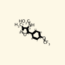 Cc1noc(-c2ccc(OC(F)(F)F)cc2)c1NC(=O)O